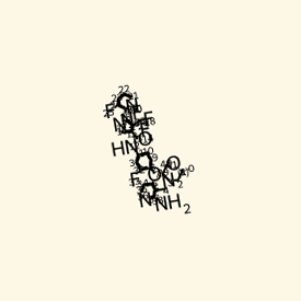 C[C@@H]1CN(Cc2c(Oc3ccc(NC(=O)c4cnn(-c5ncccc5F)c4C(F)(F)F)cc3F)ccnc2N)CCO1